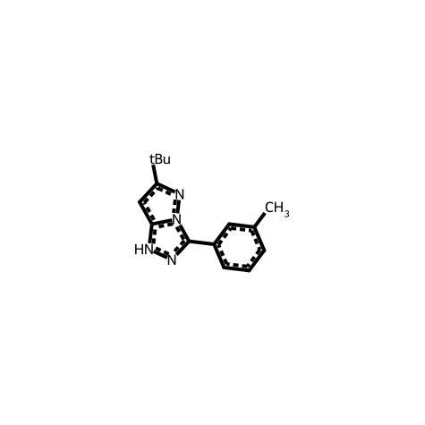 Cc1cccc(-c2n[nH]c3cc(C(C)(C)C)nn23)c1